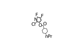 CCCC1CCC(C(=O)Oc2cc(F)c(F)nc2Cl)CC1